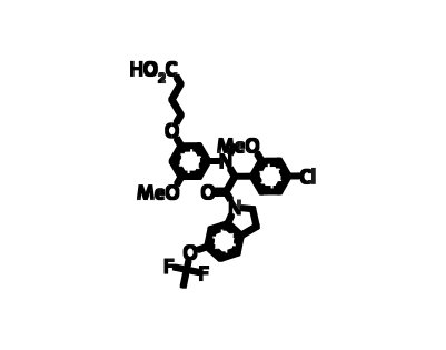 COc1cc(OCCCC(=O)O)cc(N(C)C(C(=O)N2CCc3ccc(OC(C)(F)F)cc32)c2ccc(Cl)cc2OC)c1